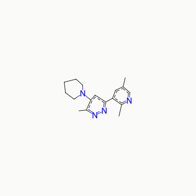 Cc1cnc(C)c(-c2cc(N3CCCCC3)c(C)nn2)c1